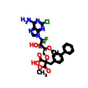 COC(=O)C(Cc1ccc(-c2ccccc2)cc1)(OC[C@@H](OC)[C@@H](O)[C@H](F)n1cnc2c(N)nc(Cl)nc21)C(=O)O